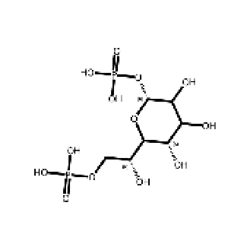 O=P(O)(O)OC[C@@H](O)C1O[C@H](OP(=O)(O)O)C(O)C(O)[C@@H]1O